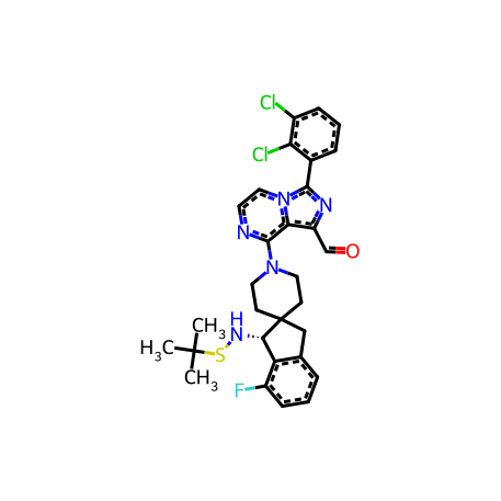 CC(C)(C)SN[C@H]1c2c(F)cccc2CC12CCN(c1nccn3c(-c4cccc(Cl)c4Cl)nc(C=O)c13)CC2